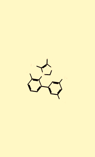 CC1=C(C)N(c2c(Cl)cccc2-c2cc(C(C)(C)C)cc(C(C)(C)C)c2)CS1